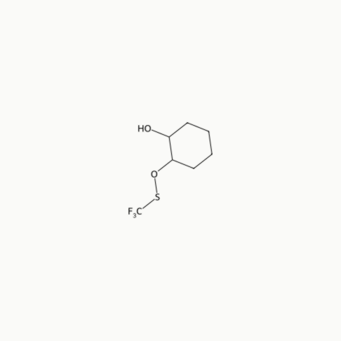 OC1CCCCC1OSC(F)(F)F